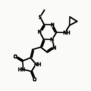 CSc1nc(NC2CC2)n2ncc(/C=C3\NC(=O)NC3=O)c2n1